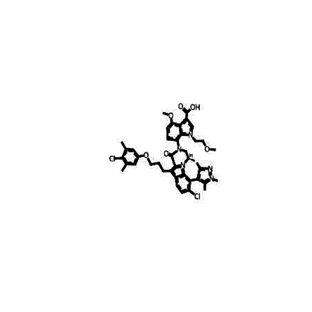 COCCn1cc(C(=O)O)c2c(OC)ccc(N3C[C@@H](C)n4c(c(CCCOc5cc(C)c(Cl)c(C)c5)c5ccc(Cl)c(-c6c(C)nn(C)c6C)c54)C3=O)c21